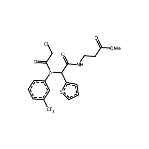 COC(=O)CCNC(=O)C(c1cccs1)N(C(=O)CCl)c1cccc(C(F)(F)F)c1